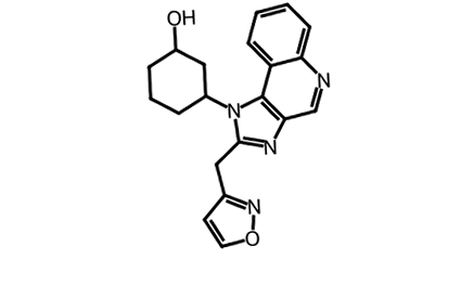 OC1CCCC(n2c(Cc3ccon3)nc3cnc4ccccc4c32)C1